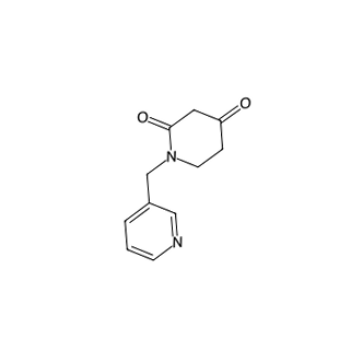 O=C1CCN(Cc2cccnc2)C(=O)C1